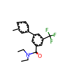 CCN(CC)C(=O)c1cc(-c2cccc(C)c2)cc(C(F)(F)F)c1